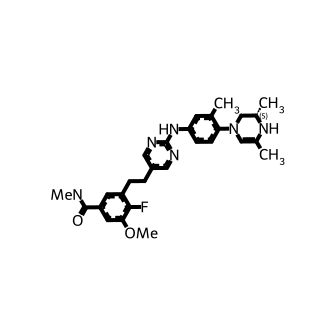 CNC(=O)c1cc(CCc2cnc(Nc3ccc(N4C=C(C)N[C@@H](C)C4)c(C)c3)nc2)c(F)c(OC)c1